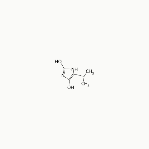 CC(C)c1[nH]c(O)nc1O